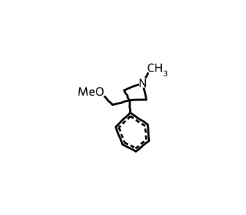 COCC1(c2ccccc2)CN(C)C1